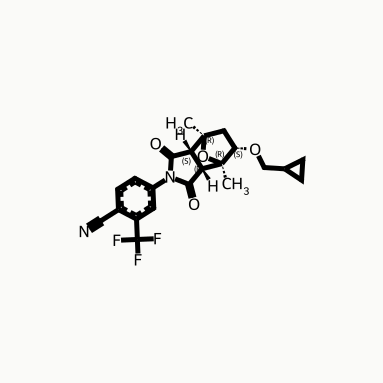 C[C@]12O[C@](C)(C[C@@H]1OCC1CC1)[C@H]1C(=O)N(c3ccc(C#N)c(C(F)(F)F)c3)C(=O)[C@H]12